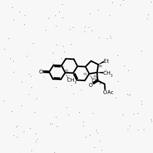 CC[C@@H]1CC2C3CCC4=CC(=O)C=C[C@]4(C)C3=CC[C@]2(C)[C@@]1(C)C(=O)COC(C)=O